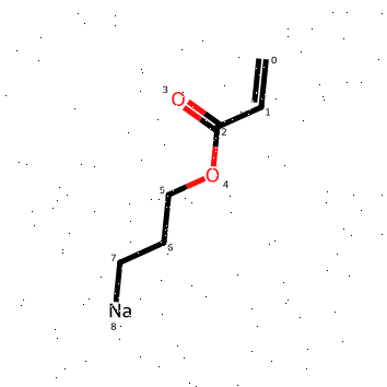 C=CC(=O)OCC[CH2][Na]